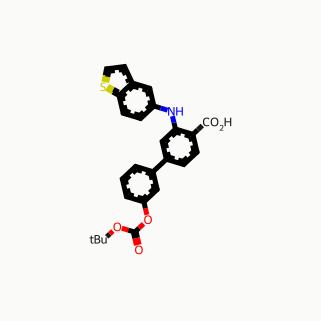 CC(C)(C)OC(=O)Oc1cccc(-c2ccc(C(=O)O)c(Nc3ccc4sccc4c3)c2)c1